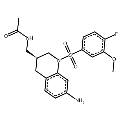 COc1cc(S(=O)(=O)N2C[C@H](CNC(C)=O)Cc3ccc(N)cc32)ccc1F